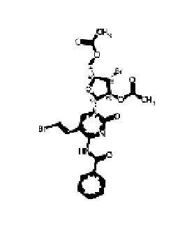 CC(=O)OC[C@H]1O[C@@H](n2cc(C=CBr)c(NC(=O)c3ccccc3)nc2=O)[C@H](OC(C)=O)[C@H]1Br